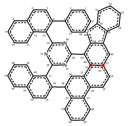 c1ccc(-c2ccc3ccccc3c2-c2nc(-c3c(-c4cc5ccccc5c5ccccc45)ccc4ccccc34)nc(-c3cccc4c3oc3ccccc34)n2)cc1